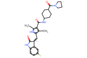 Cc1[nH]c(/C=C2\C(=O)Nc3ccc(F)cc32)c(C)c1C(=O)NC1CCC(C(=O)N2CCCC2)CC1